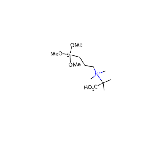 CO[Si](CCC[N+](C)(C)C(C)(C)C(=O)O)(OC)OC